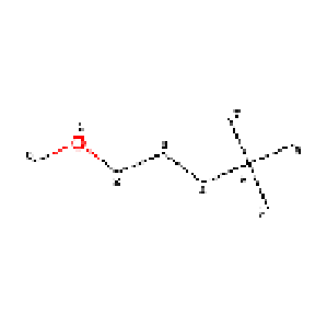 COCCCC(C)(C)C